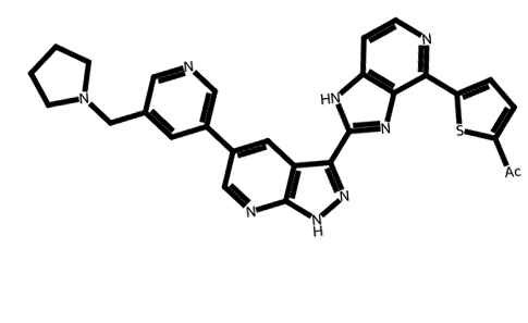 CC(=O)c1ccc(-c2nccc3[nH]c(-c4n[nH]c5ncc(-c6cncc(CN7CCCC7)c6)cc45)nc23)s1